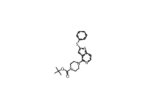 CC(C)(C)OC(=O)N1CCN(c2nccc3sc(Sc4ccccc4)cc23)CC1